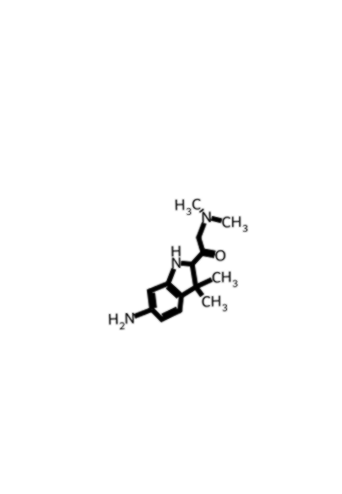 CN(C)CC(=O)C1Nc2cc(N)ccc2C1(C)C